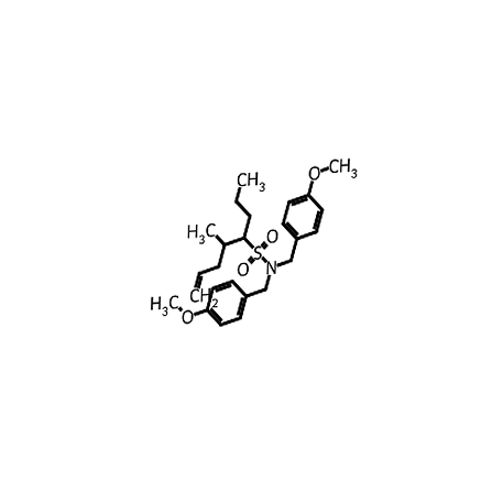 C=CCC(C)C(CCC)S(=O)(=O)N(Cc1ccc(OC)cc1)Cc1ccc(OC)cc1